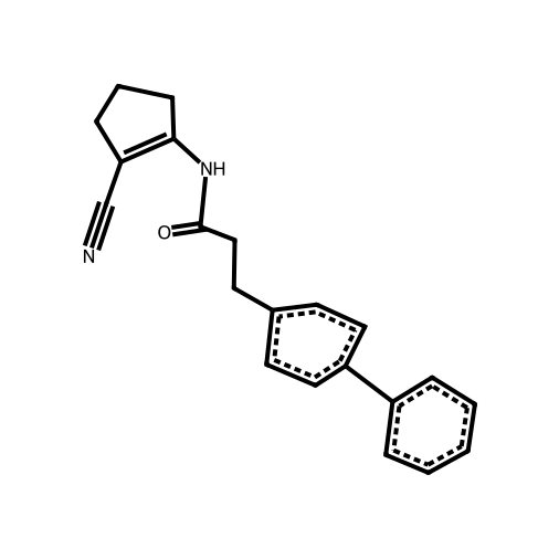 N#CC1=C(NC(=O)CCc2ccc(-c3ccccc3)cc2)CCC1